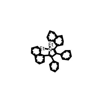 CC[Si]1(CC)C(c2cccc3ccccc23)=C(c2ccccc2)C(c2ccccc2)=C1c1cccc2ccccc12